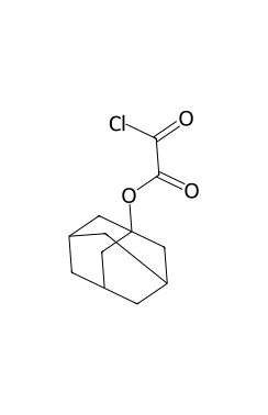 O=C(Cl)C(=O)OC12CC3CC(CC(C3)C1)C2